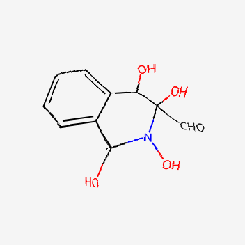 O=CC1(O)C(O)c2ccccc2[C](O)N1O